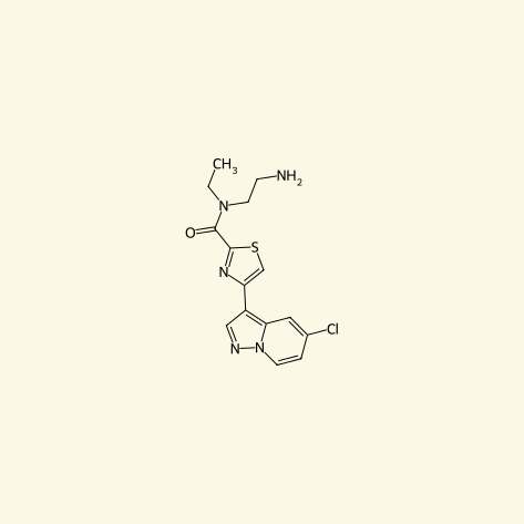 CCN(CCN)C(=O)c1nc(-c2cnn3ccc(Cl)cc23)cs1